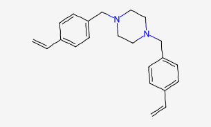 C=Cc1ccc(CN2CCN(Cc3ccc(C=C)cc3)CC2)cc1